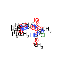 COCCOc1ccc2[nH]c(C(=O)N3CC(CCl)c4c3cc(OC(=O)N(CCOCCO)CCN(C)C(=O)OCc3ccc(NC(=O)[C@@H](C)NC(=O)[C@H](NC(=O)OC(C)(C)C)C(C)C)cc3)c3oc(C)nc43)cc2c1